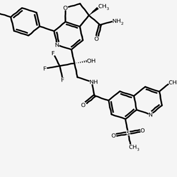 Cc1cnc2c(S(C)(=O)=O)cc(C(=O)NC[C@](O)(c3cc4c(c(-c5ccc(F)cc5)n3)OC[C@]4(C)C(N)=O)C(F)(F)F)cc2c1